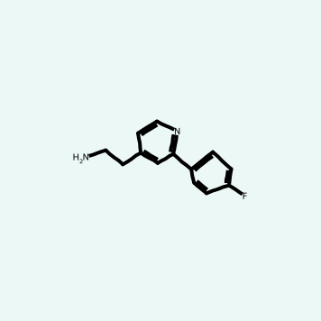 NCCc1ccnc(-c2ccc(F)cc2)c1